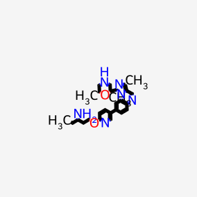 CCC(N)CCOc1ccc(-c2ccc3ncc4c(C)nc([C@]5(C)CNC[C@@H](C)O5)n4c3c2)cn1